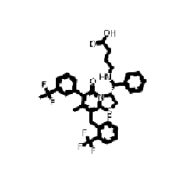 Cc1c(Cc2c(F)cccc2C(F)(F)F)c2n(c(=O)c1-c1cccc(C(C)(F)F)c1)[C@H](C(NCCCC(=O)O)c1ccccc1)CS2